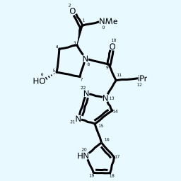 CNC(=O)[C@@H]1C[C@@H](O)CN1C(=O)C(C(C)C)n1cc(-c2ccc[nH]2)nn1